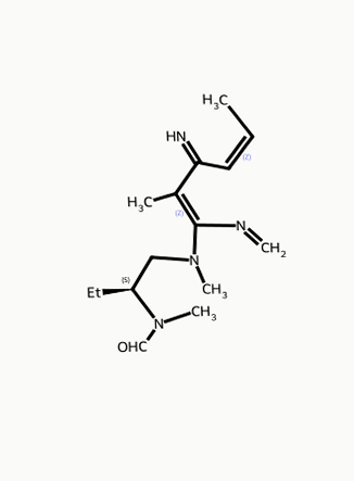 C=N/C(=C(/C)C(=N)/C=C\C)N(C)C[C@H](CC)N(C)C=O